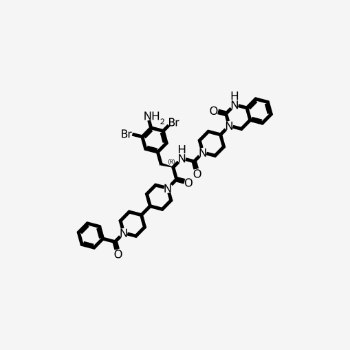 Nc1c(Br)cc(C[C@@H](NC(=O)N2CCC(N3Cc4ccccc4NC3=O)CC2)C(=O)N2CCC(C3CCN(C(=O)c4ccccc4)CC3)CC2)cc1Br